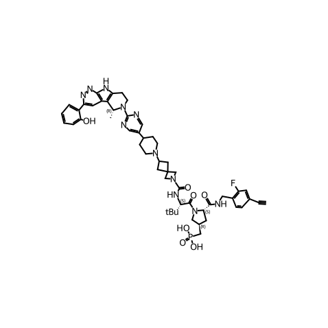 C#Cc1ccc(CNC(=O)[C@@H]2C[C@@H](CP(=O)(O)O)CN2C(=O)[C@@H](NC(=O)N2CC3(CC(N4CCC(c5cnc(N6CCc7[nH]c8nnc(-c9ccccc9O)cc8c7[C@H]6C)nc5)CC4)C3)C2)C(C)(C)C)c(F)c1